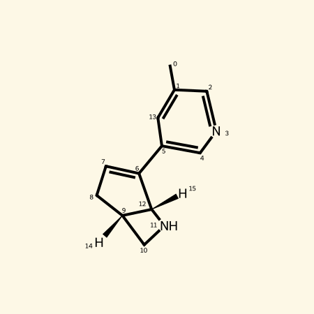 Cc1cncc(C2=CC[C@H]3CN[C@@H]23)c1